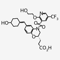 O=C(O)CC[C@H]1CN(S(=O)(=O)c2cc(C(F)(F)F)cnc2OCCO)c2cc(C=C3CCC(O)CC3)ccc2O1